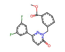 COC(=O)c1cccc(Cn2nc(-c3cc(F)cc(F)c3)ccc2=O)c1